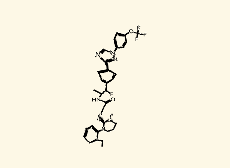 CCc1ccccc1N1CCCS/C1=N\C(=O)NC(C)C(F)c1ccc(-c2ncn(-c3ccc(OC(F)(F)F)cc3)n2)cc1